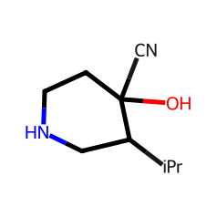 CC(C)C1CNCCC1(O)C#N